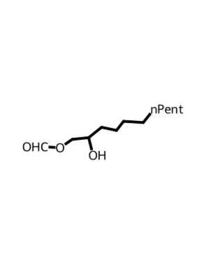 CCCCCCCCCC(O)COC=O